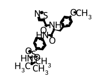 COc1ccc(C[C@H](NC(=O)c2cncs2)C(=O)Nc2ccc(S(=O)(=O)NC(C)(C)C)cc2)cc1